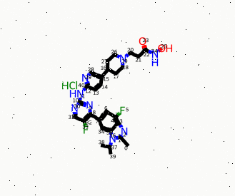 Cc1nc2c(F)cc(-c3nc(Nc4ccc(C5CCN(CCC(=O)NO)CC5)cn4)ncc3F)cc2n1C(C)C.Cl